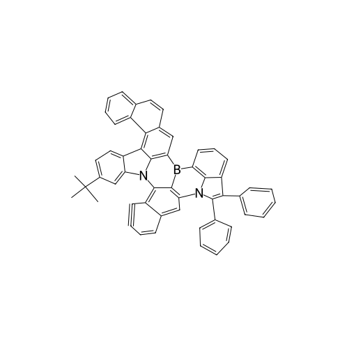 CC(C)(C)c1ccc2c3c4c(ccc5ccccc54)cc4c3n(c2c1)-c1c2c(cc3ccc#cc13)-n1c(-c3ccccc3)c(-c3ccccc3)c3cccc(c31)B24